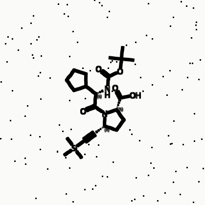 CC(C)(C)OC(=O)N[C@H](C(=O)N1[C@@H](C#C[Si](C)(C)C)CC[C@H]1C(=O)O)C1CCCC1